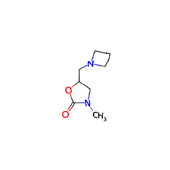 CN1CC(CN2CCC2)OC1=O